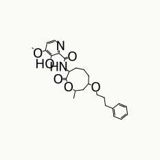 COc1ccnc(C(=O)N[C@H]2CCCC(OCCCc3ccccc3)CC(C)OC2=O)c1O